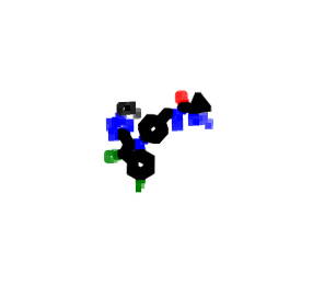 Cn1nnc(-c2c(Cl)c3cc(F)ccc3n2-c2ccc(CNC(=O)C3(N)CC3)cc2)n1